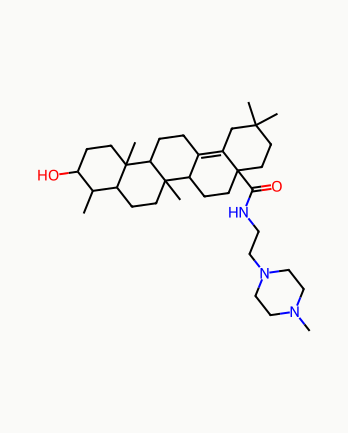 CC1C(O)CCC2(C)C1CCC1(C)C3CCC4(C(=O)NCCN5CCN(C)CC5)CCC(C)(C)CC4=C3CCC12